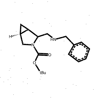 CC(C)(C)OC(=O)N1C[C@H]2CC2C1CNCc1ccccc1